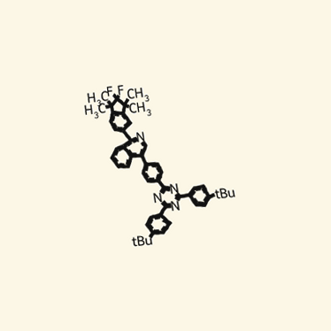 CC(C)(C)c1ccc(-c2nc(-c3ccc(-c4cnc(-c5ccc6c(c5)C(C)(C)C(F)(F)C6(C)C)c5ccccc45)cc3)nc(-c3ccc(C(C)(C)C)cc3)n2)cc1